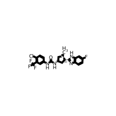 CN1C[C@@H](NC(=O)Nc2ccc(Cl)c(C(F)(F)F)c2)C[C@H]1c1nc2ccc(F)cc2[nH]1